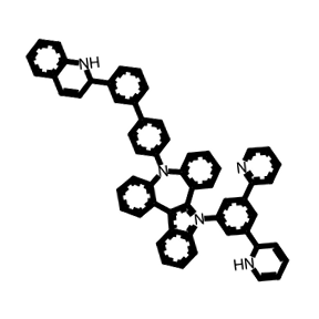 C1=CNC(c2cc(-c3ccccn3)cc(-n3c4c(c5ccccc53)-c3ccccc3N(c3ccc(-c5cccc(C6C=Cc7ccccc7N6)c5)cc3)c3ccccc3-4)c2)C=C1